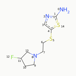 Nc1ncc(SCCN2CCC(F)C2)s1